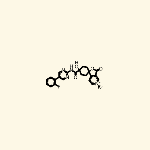 O=C1OC2(CCC(O)(C(=O)Nc3ncc(-c4ccccc4F)cn3)CC2)c2cc[n+]([O-])cc21